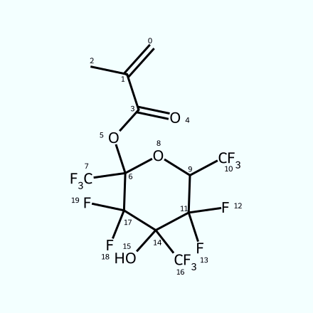 C=C(C)C(=O)OC1(C(F)(F)F)OC(C(F)(F)F)C(F)(F)C(O)(C(F)(F)F)C1(F)F